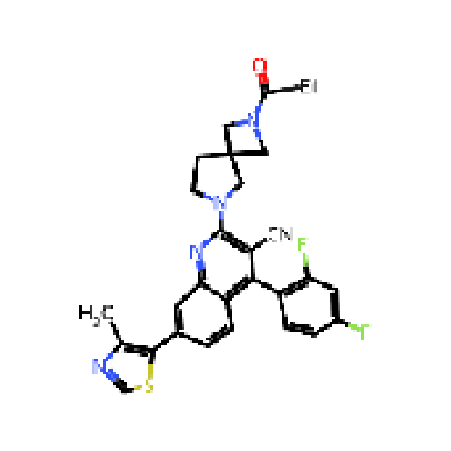 CCC(=O)N1CC2(CCN(c3nc4cc(-c5scnc5C)ccc4c(-c4ccc(F)cc4F)c3C#N)C2)C1